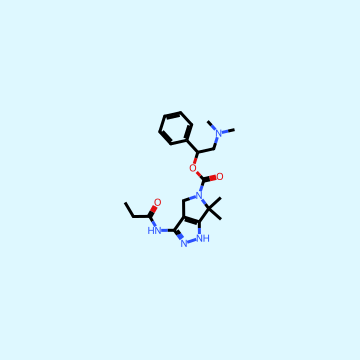 CCC(=O)Nc1n[nH]c2c1CN(C(=O)OC(CN(C)C)c1ccccc1)C2(C)C